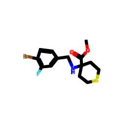 COC(=O)C1(NCc2ccc(Br)c(F)c2)CCSCC1